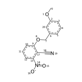 COc1cccc(COc2cccc([N+](=O)[O-])c2C#N)c1